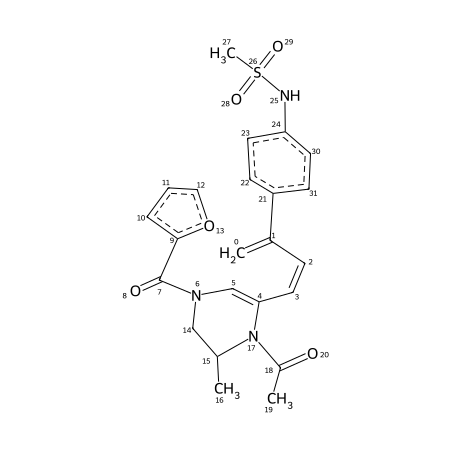 C=C(/C=C\C1=CN(C(=O)c2ccco2)CC(C)N1C(C)=O)c1ccc(NS(C)(=O)=O)cc1